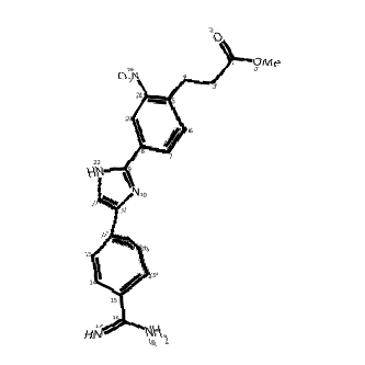 COC(=O)CCc1ccc(-c2nc(-c3ccc(C(=N)N)cc3)c[nH]2)cc1[N+](=O)[O-]